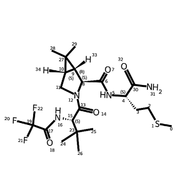 CSCC[C@H](NC(=O)[C@@H]1[C@@H]2[C@H](CN1C(=O)[C@@H](NC(=O)C(F)(F)F)C(C)(C)C)C2(C)C)C(N)=O